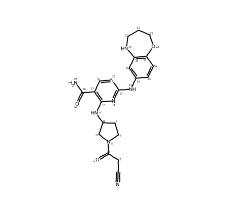 N#CCC(=O)N1CCC(Nc2nc(Nc3ccc4c(c3)NCCCO4)ncc2C(N)=O)C1